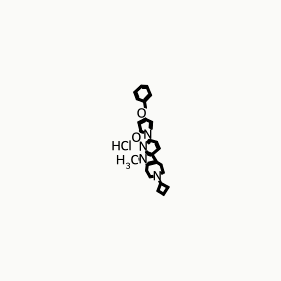 Cl.Cn1c2c(c3ccc(-n4ccc(OCc5ccccc5)cc4=O)nc31)CCN(C1CCC1)CC2